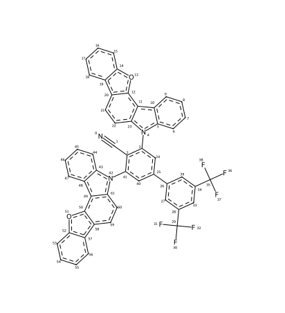 N#Cc1c(-n2c3ccccc3c3c4oc5ccccc5c4ccc32)cc(-c2cc(C(F)(F)F)cc(C(F)(F)F)c2)cc1-n1c2ccccc2c2c3oc4ccccc4c3ccc21